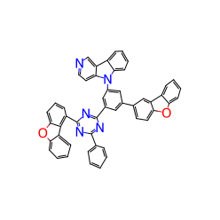 c1ccc(-c2nc(-c3cc(-c4ccc5oc6ccccc6c5c4)cc(-n4c5ccccc5c5cnccc54)c3)nc(-c3cccc4oc5ccccc5c34)n2)cc1